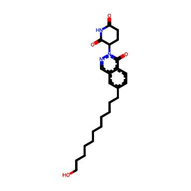 O=C1CCC(n2ncc3cc(CCCCCCCCCCCO)ccc3c2=O)C(=O)N1